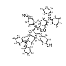 N#Cc1ccc(-c2c3oc4cc(N(c5ccccc5)c5ccccc5)ccc4c3c(-c3ccc(C#N)cc3)c3oc4cc(N(c5ccccc5)c5ccccc5)ccc4c23)cc1